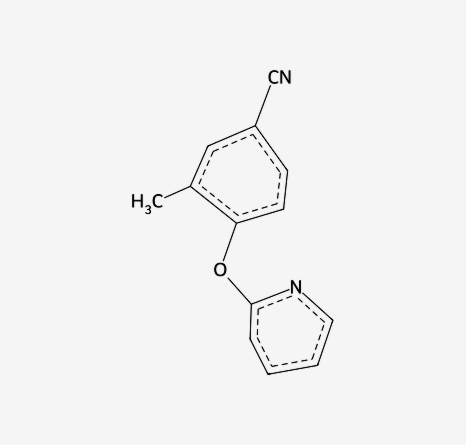 Cc1cc(C#N)ccc1Oc1ccccn1